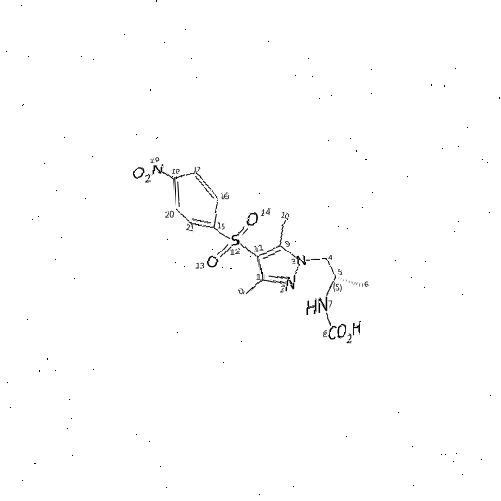 Cc1nn(C[C@H](C)NC(=O)O)c(C)c1S(=O)(=O)c1ccc([N+](=O)[O-])cc1